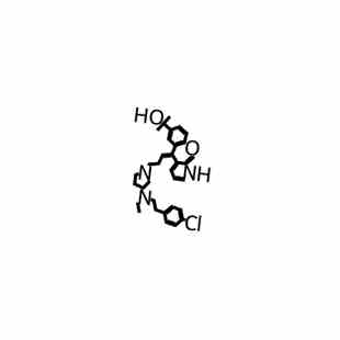 CCN(CCc1ccc(Cl)cc1)C1CCN(CC/C=C2\C3=CC=CNC3=COc3ccc(C(C)(C)O)cc32)C1